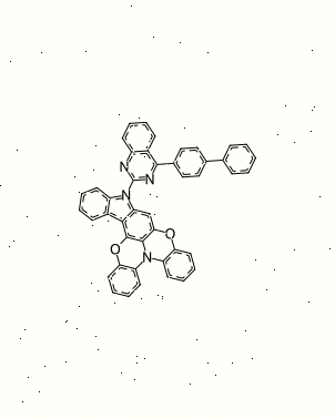 c1ccc(-c2ccc(-c3nc(-n4c5ccccc5c5c6c7c(cc54)Oc4ccccc4N7c4ccccc4O6)nc4ccccc34)cc2)cc1